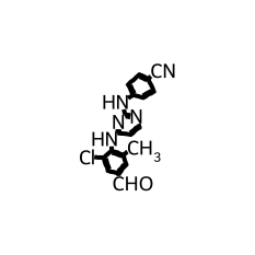 Cc1cc(C=O)cc(Cl)c1Nc1ccnc(Nc2ccc(C#N)cc2)n1